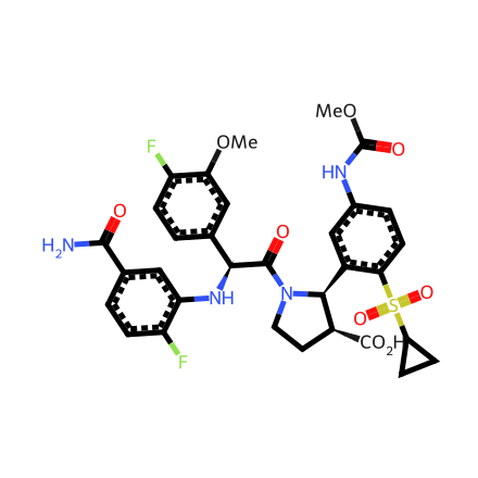 COC(=O)Nc1ccc(S(=O)(=O)C2CC2)c([C@H]2[C@@H](C(=O)O)CCN2C(=O)[C@@H](Nc2cc(C(N)=O)ccc2F)c2ccc(F)c(OC)c2)c1